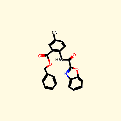 N#Cc1ccc([AsH]C(=O)c2nc3ccccc3o2)c(C(=O)OCc2ccccc2)c1